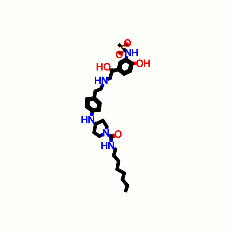 CCCCCCCCNC(=O)N1CCC(Nc2ccc(CCNC[C@@H](O)c3ccc(O)c(NS(C)(=O)=O)c3)cc2)CC1